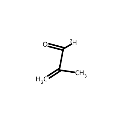 [2H]C(=O)C(=C)C